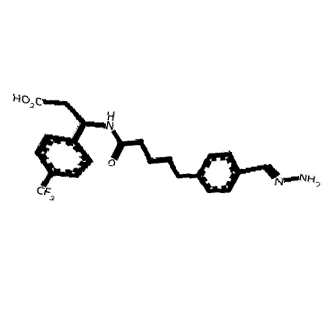 NN=Cc1ccc(CCCCC(=O)NC(CC(=O)O)c2ccc(C(F)(F)F)cc2)cc1